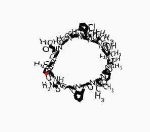 CC(C)C1NC(=O)[C@H]([C@@H](C)O)NC(=O)[C@H]([C@@H](C)O)NC(=O)[C@@H]2CCCN2C(=O)C(C(C)C)NC(=O)[C@H](Cc2ccccc2)NC(=O)CSC[C@@H](C(N)=O)NC(=O)[C@@H]2CCCN2C(=O)[C@H](C)NC(=O)[C@H](CCC(=O)O)NC(=O)[C@H](C)N(C)C(=O)[C@@H]2Cc3ccc(Cl)c(c3)[C@@H](C(=O)N2)N(C)C1=O